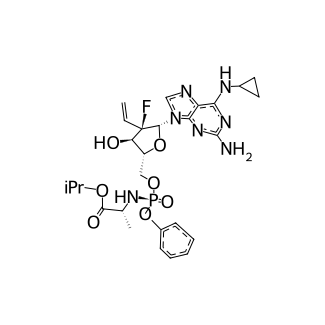 C=C[C@@]1(F)[C@H](O)[C@@H](CO[P@@](=O)(N[C@H](C)C(=O)OC(C)C)Oc2ccccc2)O[C@H]1n1cnc2c(NC3CC3)nc(N)nc21